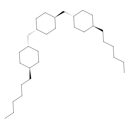 CCCCCC[C@H]1CC[C@H](C[C@H]2CC[C@H](C[C@H]3CC[C@H](CCCCCC)CC3)CC2)CC1